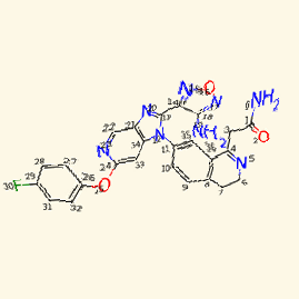 NC(=O)CC1=NCCc2ccc(-n3c(-c4nonc4N)nc4cnc(Oc5ccc(F)cc5)cc43)cc21